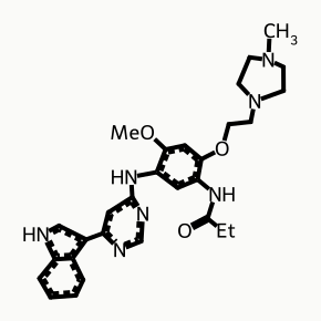 CCC(=O)Nc1cc(Nc2cc(-c3c[nH]c4ccccc34)ncn2)c(OC)cc1OCCN1CCN(C)CC1